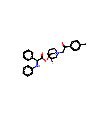 Cc1ccc(C(=O)C[N+]23CCC(CC2)[C@@H](OC(=O)C(Nc2ccccc2)c2ccccc2)C3)cc1